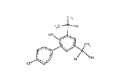 CCC(C)(C)c1cc(-c2ccc(Cl)cc2)c(O)c(C(C)(C)CC)c1